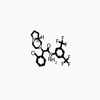 NN(C(=O)C(c1ccccc1Cl)N1CCN2CCC[C@@H]2C1)c1cc(C(F)(F)F)cc(C(F)(F)F)c1